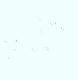 Cc1cc(CN2CCN(C(=O)CC(F)(F)F)CC2)cc(Nc2nc3ccc(-c4ccncn4)cc3[nH]2)n1